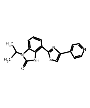 CC(C)n1c(=O)[nH]c2c(-c3nc(-c4ccncc4)cs3)cccc21